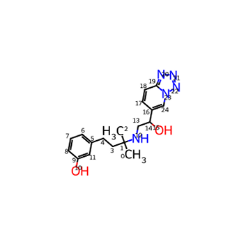 CC(C)(CCc1cccc(O)c1)NCC(O)c1ccc2nnnn2c1